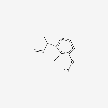 [CH2]C(C=C)c1cccc(OCCC)c1C